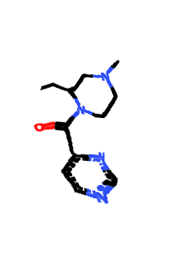 CC1CN(C)CCN1C(=O)c1ccncn1